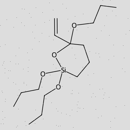 C=CC1(OCCC)CCC[Si](OCCC)(OCCC)O1